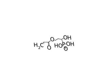 C=CC(=O)OCCC(O)P(=O)(O)O